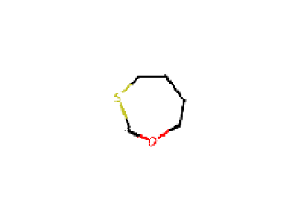 [CH]1OCCCCS1